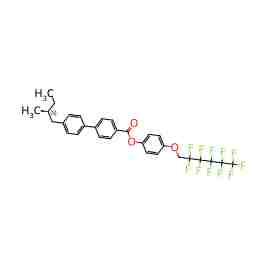 CC[C@H](C)Cc1ccc(-c2ccc(C(=O)Oc3ccc(OCC(F)(F)C(F)(F)C(F)(F)C(F)(F)C(F)(F)F)cc3)cc2)cc1